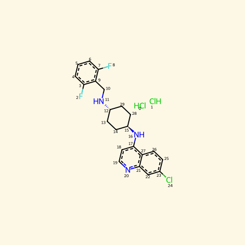 Cl.Cl.Fc1cccc(F)c1CN[C@H]1CC[C@H](Nc2ccnc3cc(Cl)ccc23)CC1